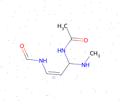 CNC(/C=C\NC=O)NC(C)=O